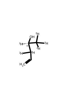 [2H]C([2H])([2H])[C@]([2H])(O)C([2H])([2H])C=C